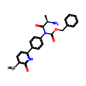 C[C@@H](N)C(=O)N(C(=O)OCc1ccccc1)c1ccc(-c2ccc(C(=O)O)c(=O)[nH]2)cc1